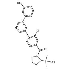 CC(C)(C)c1cccc(-c2cncc(-c3ccc(C(=O)N4CCCC4C(C)(C)O)cc3Cl)c2)c1